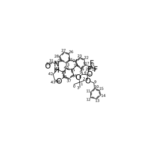 CC(C)(C)OC(C(=O)OCc1ccccc1)c1c(C(F)(F)F)ccc(-c2cccc(NC=O)c2)c1-c1ccc2c(c1)CCCO2